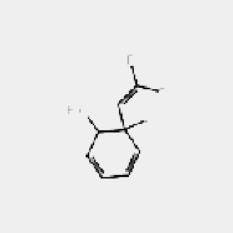 FC(F)=CC1(F)C=CC=CC1C(F)(F)F